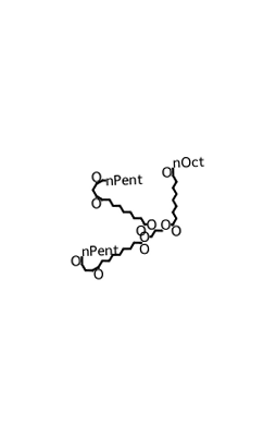 CCCCCCCCC1OC1CCCCCCCC(=O)OCC(COC(=O)CCCCCCCC1OC1CC1OC1CCCCC)OC(=O)CCCCCCCC1OC1CC1OC1CCCCC